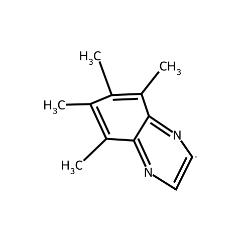 Cc1c(C)c(C)c2nc[c]nc2c1C